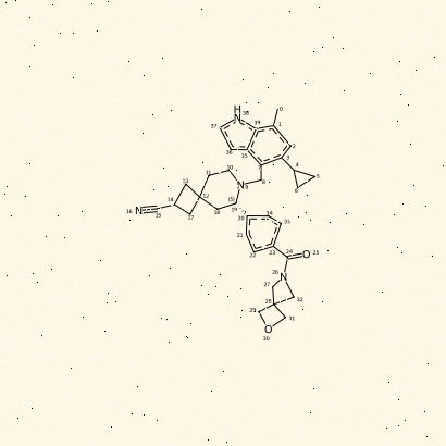 Cc1cc(C2CC2)c(CN2CCC3(CC(C#N)C3)C[C@H]2c2ccc(C(=O)N3CC4(COC4)C3)cc2)c2cc[nH]c12